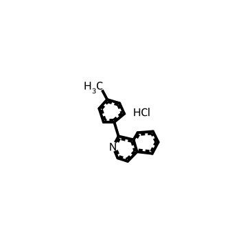 Cc1ccc(-c2nccc3ccccc23)cc1.Cl